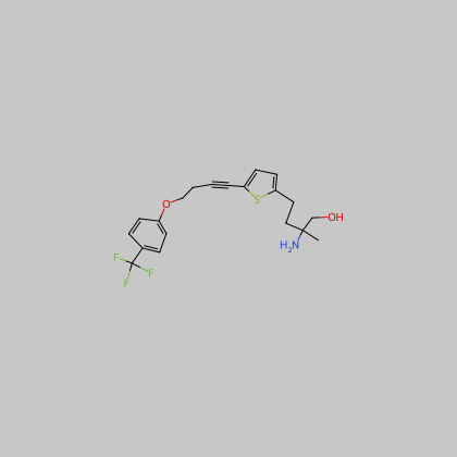 CC(N)(CO)CCc1ccc(C#CCCOc2ccc(C(F)(F)F)cc2)s1